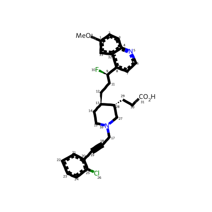 COc1ccc2nccc([C@H](F)CC[C@@H]3CCN(CC#Cc4ccccc4Cl)C[C@H]3CCC(=O)O)c2c1